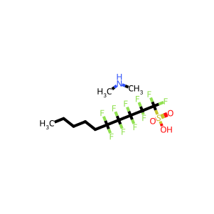 CCCCCC(F)(F)C(F)(F)C(F)(F)C(F)(F)C(F)(F)S(=O)(=O)O.CNC